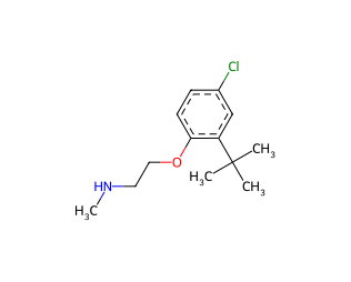 CNCCOc1ccc(Cl)cc1C(C)(C)C